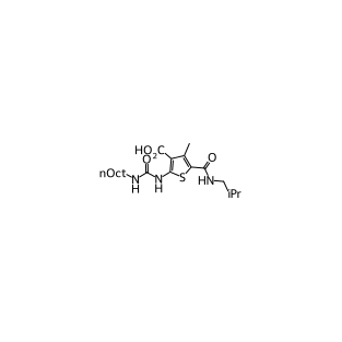 CCCCCCCCNC(=O)Nc1sc(C(=O)NCC(C)C)c(C)c1C(=O)O